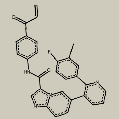 C=CC(=O)c1ccc(NC(=O)c2cnc3ccc(-c4cccnc4-c4ccc(F)c(C)c4)cn23)cc1